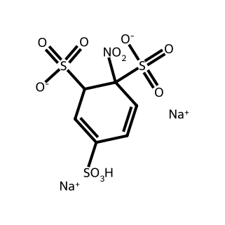 O=[N+]([O-])C1(S(=O)(=O)[O-])C=CC(S(=O)(=O)O)=CC1S(=O)(=O)[O-].[Na+].[Na+]